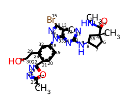 CNC(=O)[C@]1(C)CC[C@@H](Nc2ncc3c(Br)nn(-c4ccc(-c5nnc(C)o5)c(CCO)c4)c3n2)C1